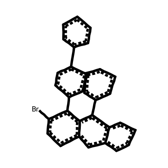 Brc1ccc2cc3ccccc3c(-c3ccccc3)c2c1-c1ccc(-c2ccccc2)cc1